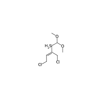 COC(OC)[SiH2]C(=CCCl)CCl